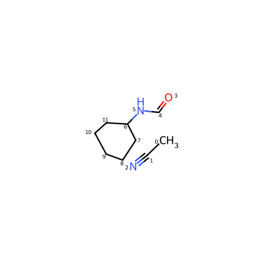 CC#N.O=CNC1CCCCC1